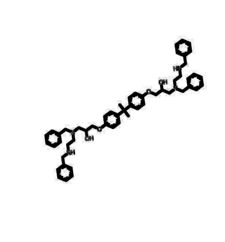 CC(C)(c1ccc(OCC(O)CN(CCNCc2ccccc2)Cc2ccccc2)cc1)c1ccc(OCC(O)CN(CCNCc2ccccc2)Cc2ccccc2)cc1